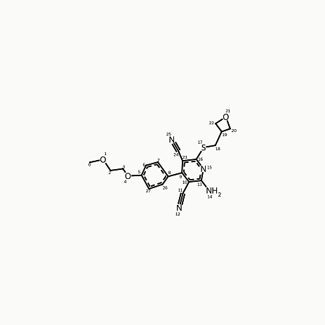 COCCOc1ccc(-c2c(C#N)c(N)nc(SCC3COC3)c2C#N)cc1